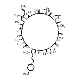 C/C=C/C[C@@H](C)[C@@H](O)[C@H]1C(=O)N[C@@H](CC)C(=O)N(C)[C@H](C)C(=O)N[C@@H]([C@H](C)CCCN2CCC(OC)CC2)C(=O)N[C@@H](C(C)C)C(=O)N(C)[C@@H](CC(C)C)C(=O)N[C@@H](C)C(=O)N[C@H](C)C(=O)N(C)[C@@H](CC(C)C)C(=O)N(C)[C@@H](CC(C)C)C(=O)N(C)[C@@H](C(C)C)C(=O)N1C